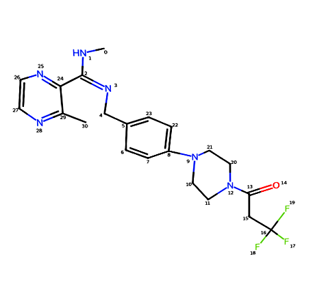 CN/C(=N/Cc1ccc(N2CCN(C(=O)CC(F)(F)F)CC2)cc1)c1nccnc1C